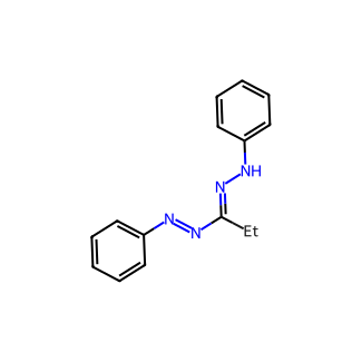 CCC(N=Nc1ccccc1)=NNc1ccccc1